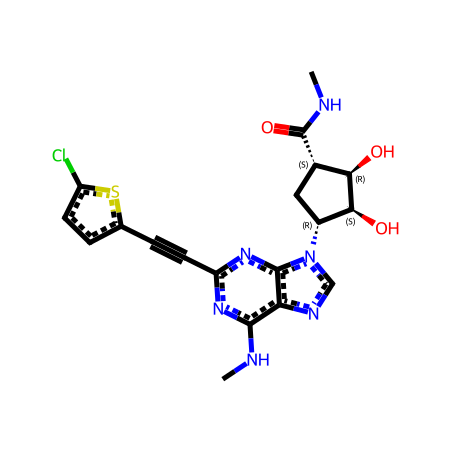 CNC(=O)[C@H]1C[C@@H](n2cnc3c(NC)nc(C#Cc4ccc(Cl)s4)nc32)[C@H](O)[C@@H]1O